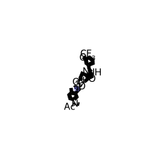 CC(=O)N(C)c1ccc(C)c(/C=C/S(=O)(=O)N2CCC3(CC2)N=C(c2cccc(OC(F)(F)F)c2)NC3=O)c1